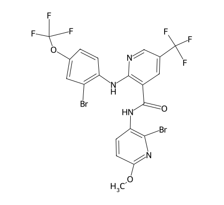 COc1ccc(NC(=O)c2cc(C(F)(F)F)cnc2Nc2ccc(OC(F)(F)F)cc2Br)c(Br)n1